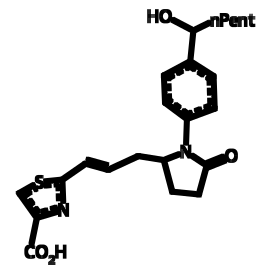 CCCCCC(O)c1ccc(N2C(=O)CCC2CC=Cc2nc(C(=O)O)cs2)cc1